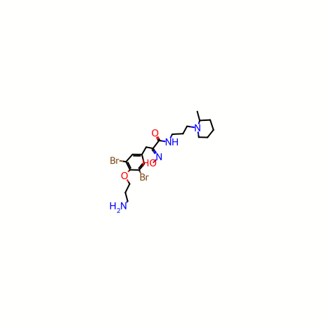 CC1CCCCN1CCCNC(=O)C(Cc1cc(Br)c(OCCCN)c(Br)c1)=NO